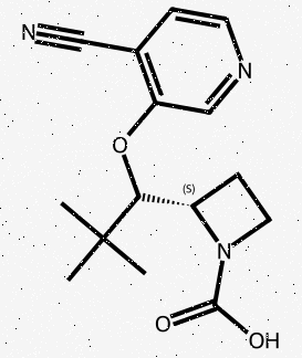 CC(C)(C)C(Oc1cnccc1C#N)[C@@H]1CCN1C(=O)O